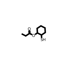 CCC(=O)OC1CCCCC1S